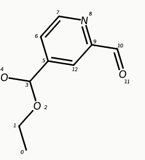 CCOC(O)c1ccnc(C=O)c1